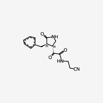 N#CCCNC(=O)C(=O)[C@H]1CNC(=O)[C@@H]1Cc1ccccc1